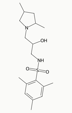 Cc1cc(C)c(S(=O)(=O)NCC(O)CN2CC(C)CC2C)c(C)c1